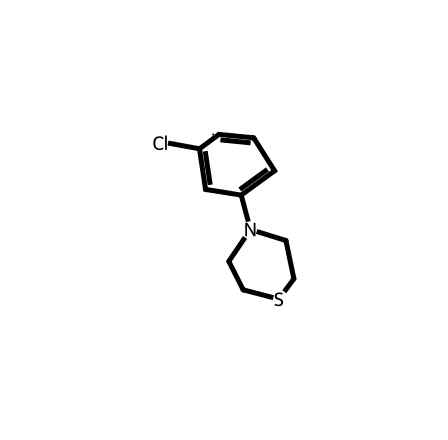 Clc1[c]ccc(N2CCSCC2)c1